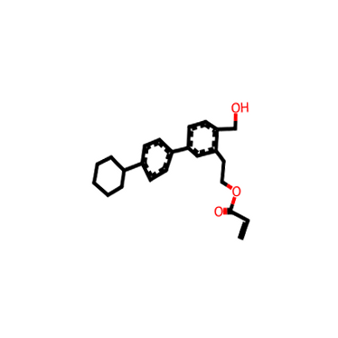 C=CC(=O)OCCc1cc(-c2ccc(C3CCCCC3)cc2)ccc1CO